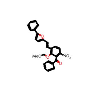 COCOc1c(C=Cc2ccc(-c3ccccc3)o2)ccc([N+](=O)[O-])c1C(=O)c1ccccc1